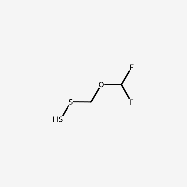 FC(F)OCSS